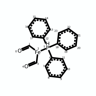 O=[CH][Fe]([CH]=O)[PH](c1ccccc1)(c1ccccc1)c1ccccc1